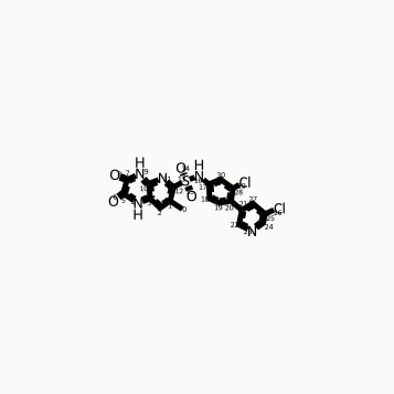 Cc1cc2[nH]c(=O)c(=O)[nH]c2nc1S(=O)(=O)Nc1ccc(-c2cncc(Cl)c2)c(Cl)c1